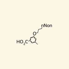 CCCCCCCCCCCCOc1cc(C)cc(C(=O)O)c1